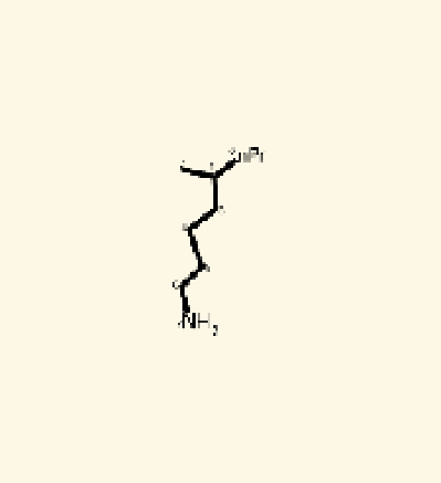 CCCC(C)CCCCN